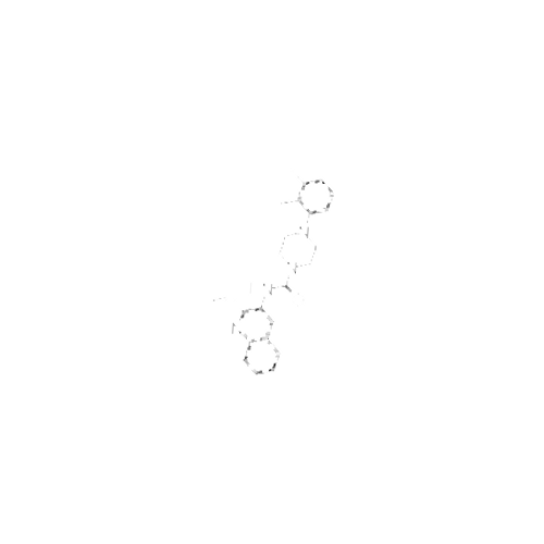 COc1nc2ccccc2cc1NC(=O)N1CCN(c2cccc(C)c2C)CC1